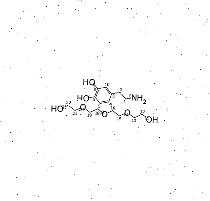 NCCc1ccc(O)c(O)c1.OCCOCCOCCOCCO